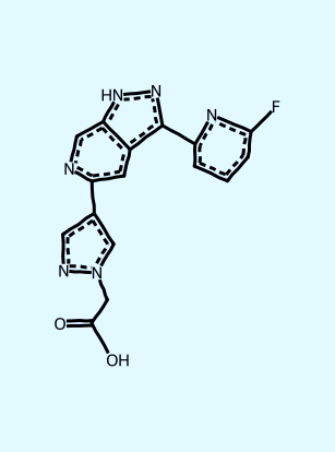 O=C(O)Cn1cc(-c2cc3c(-c4cccc(F)n4)n[nH]c3cn2)cn1